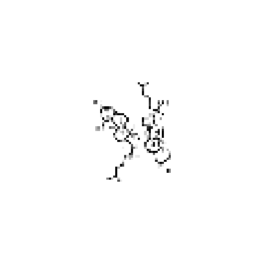 CC(C)CCC[C@@H](C)[C@H]1CC[C@H]2[C@@H]3CC=C4C[C@@H](O)CC(O)[C@]4(C)[C@H]3CC[C@]12C.CC(C)CCC[C@](C)(O)[C@H]1CC[C@H]2[C@@H]3CC=C4C[C@@H](O)CC[C@]4(C)[C@H]3CC[C@@]21C